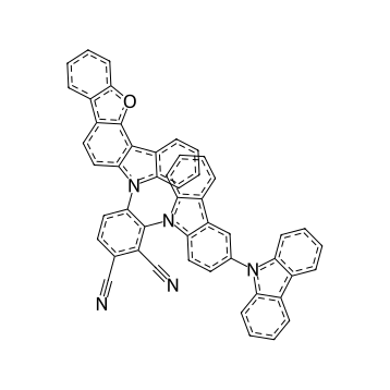 N#Cc1ccc(-n2c3ccccc3c3c4oc5ccccc5c4ccc32)c(-n2c3ccccc3c3cc(-n4c5ccccc5c5ccccc54)ccc32)c1C#N